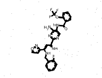 N=C(/C=C(\NCc1ccccc1F)c1ccon1)c1ncc(NC(=O)c2ccccc2OC(F)(F)F)c(N)n1